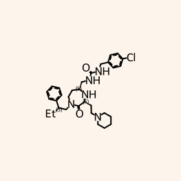 CC[C@H](CN1CC[C@@H](CNC(=O)NCc2ccc(Cl)cc2)N[C@@H](CCN2CCCCC2)C1=O)c1ccccc1